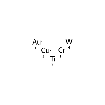 [Au].[Cr].[Cu].[Ti].[W]